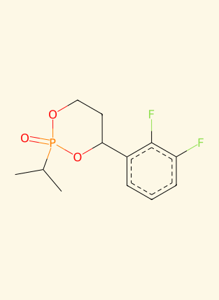 CC(C)P1(=O)OCCC(c2cccc(F)c2F)O1